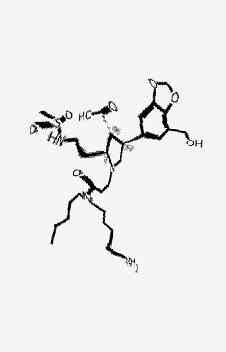 CCCCN(CCCCN)C(=O)CN1C[C@H](c2cc(CO)c3c(c2)OCO3)[C@@H](C(=O)O)[C@@H]1CCNS(C)(=O)=O